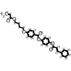 C=CC(=O)OCCCCOc1ccc(C(=O)Oc2ccc(OC(=O)/C=C/c3ccccc3)cc2)cc1